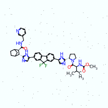 COC(=O)NC(C(=O)N1CCC[C@H]1c1ncc(-c2ccc3c(c2)C(F)(F)c2cc(-c4cnc([C@@H]5C6CCC(C6)[C@H]5C(=O)NCc5cccnc5)[nH]4)ccc2-3)[nH]1)C(C)C